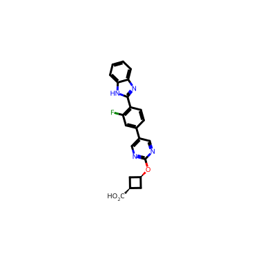 O=C(O)[C@H]1C[C@@H](Oc2ncc(-c3ccc(-c4nc5ccccc5[nH]4)c(F)c3)cn2)C1